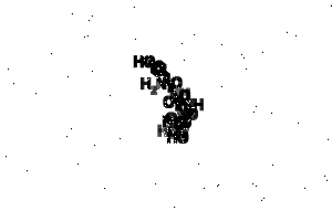 N[C@@H](Cc1ccc(O)cc1)C(=O)CNC(=O)c1cn([C@@H]2O[C@H](CO)[C@H](O)[C@H]2OF)c(=O)[nH]c1=O